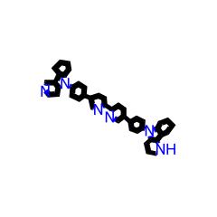 C1=Cc2c(c3ccccc3n2-c2ccc(-c3ccc(-c4ccc(-c5ccc(-n6c7ccccc7c7cnccc76)cc5)cn4)nc3)cc2)NC1